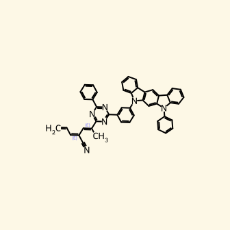 C=C/C=C(C#N)\C=C(/C)c1nc(-c2ccccc2)nc(-c2cccc(-n3c4ccccc4c4cc5c6ccccc6n(-c6ccccc6)c5cc43)c2)n1